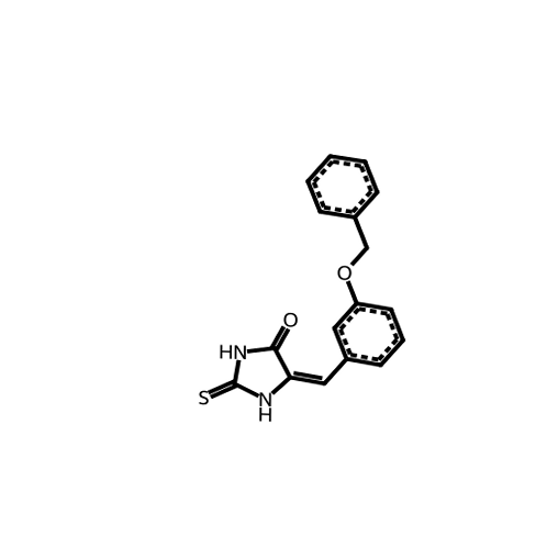 O=C1NC(=S)NC1=Cc1cccc(OCc2ccccc2)c1